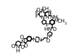 COc1cc(C(=O)N[C@@H]2CCN(C(=O)CCN3CCN(c4ccc5c(c4)C(=O)N(C4CCC(=O)NC4=O)C5=O)CC3)C2)c(F)cc1Nc1ncc2c(n1)N(C1CCCC1)CC(F)(F)C(=O)N2C